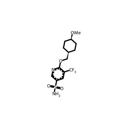 CO[C@H]1CC[C@@H](COc2ncc(S(N)(=O)=O)cc2C(F)(F)F)CC1